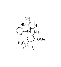 COc1cc(P(C)(C)=O)ccc1Nc1ncc(N=O)c(Nc2ccccc2S)n1